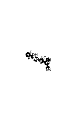 Cn1cc(-c2cc(-c3ccc(N4CCN(CC(O)c5c(F)cccc5F)CC4)nc3)c3c(C#N)cnn3c2)cn1